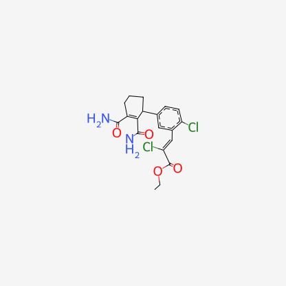 CCOC(=O)C(Cl)=Cc1cc(C2CCCC(C(N)=O)=C2C(N)=O)ccc1Cl